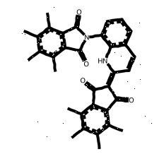 Cc1c(C)c(C)c2c(c1C)C(=O)C(=C1C=Cc3cccc(N4C(=O)c5c(C)c(C)c(C)c(C)c5C4=O)c3N1)C2=O